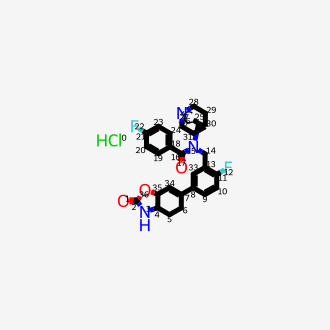 Cl.O=C1NC2CCC(c3ccc(F)c(CN(C(=O)c4ccc(F)cc4)C4CN5CCC4CC5)c3)=CC2O1